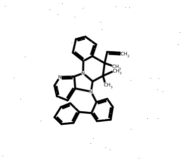 C=CC1(C)c2ccccc2N2c3ncccc3N(c3ccccc3-c3ccccc3)C2C1(C)C